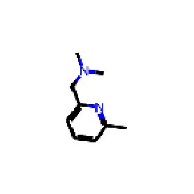 Cc1cccc(CN(C)C)n1